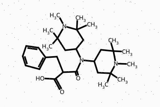 CN1C(C)(C)CC(N(C(=O)C(Cc2ccccc2)C(=O)O)C2CC(C)(C)N(C)C(C)(C)C2)CC1(C)C